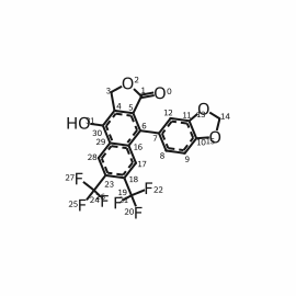 O=C1OCc2c1c(-c1ccc3c(c1)OCO3)c1cc(C(F)(F)F)c(C(F)(F)F)cc1c2O